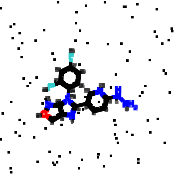 NNc1ccc(-c2nc3conc3n2-c2ccc(F)cc2F)cn1